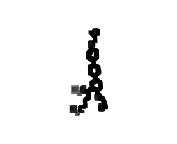 CCCCC(C)c1cc(C2C=CC(c3ccc(OCC4CO4)cc3)C=C2)ccc1OCC1CO1